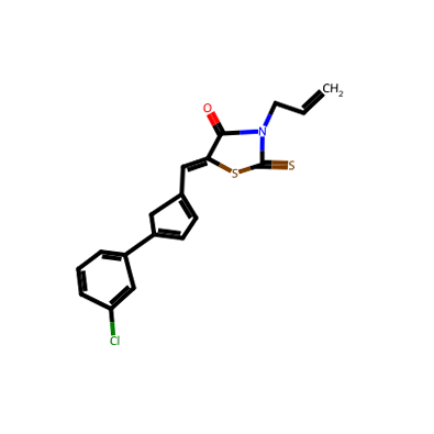 C=CCN1C(=O)/C(=C/C2=CC=C(c3cccc(Cl)c3)C2)SC1=S